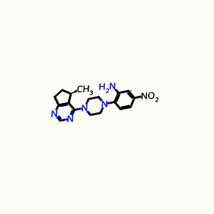 C[C@@H]1CCc2ncnc(N3CCN(c4ccc([N+](=O)[O-])[c]c4N)CC3)c21